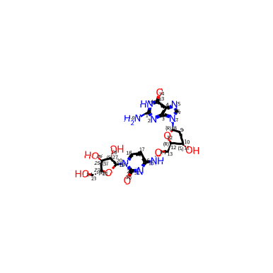 Nc1nc2c(ncn2[C@H]2C[C@H](O)[C@@H](CONc3ccn(C4O[C@H](CO)[C@@H](O)[C@@H]4O)c(=O)n3)O2)c(=O)[nH]1